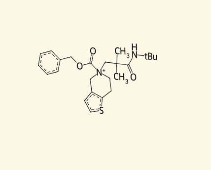 CC(C)(C)NC(=O)C(C)(C)C[N+]1(C(=O)OCc2ccccc2)CCc2sccc2C1